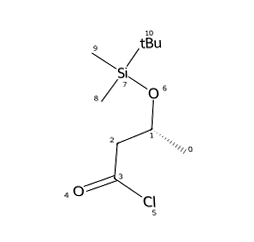 C[C@H](CC(=O)Cl)O[Si](C)(C)C(C)(C)C